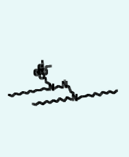 CCCCCCCCCCCCN(CCCCCCCCCCCC)CCCN(C)CCCN(CCCCCCCCCCCC)CCCOP(=O)(OCC)OCC